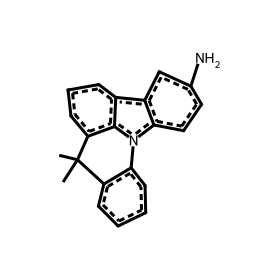 CC1(C)c2ccccc2-n2c3ccc(N)cc3c3cccc1c32